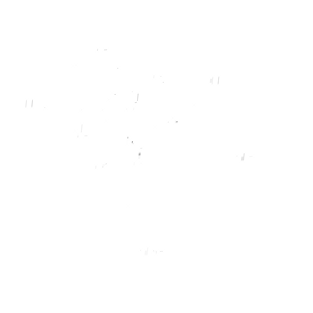 CCCCCCCCCCCCCCCCC[C@@H](O)[C@H](COP(=O)(O)O[C@H]1C(O)C(O)C(O)[C@@H](O)C1O[C@H]1O[C@H](COP(=O)(O)OC2C(O)C(O)C(O)[C@@H](O)C2O)[C@@H](O)C(O)C1O)NC(=O)C(O)CCCCCCCCCCCCCCCC